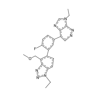 CCn1cnc2c(-c3ccc(F)c(-c4ccc5c(nnn5CC)c4COC)c3)cnnc21